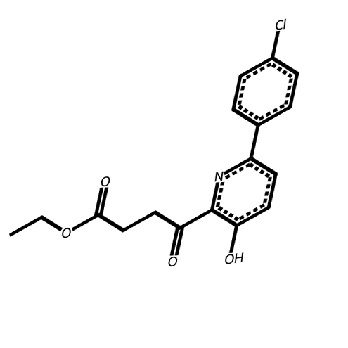 CCOC(=O)CCC(=O)c1nc(-c2ccc(Cl)cc2)ccc1O